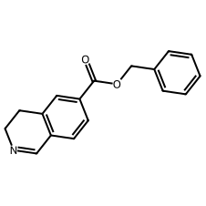 O=C(OCc1ccccc1)c1ccc2c(c1)CCN=C2